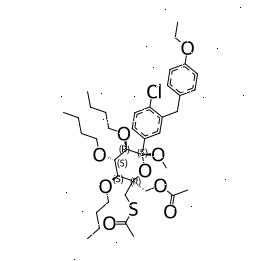 CCCCO[C@@H]1[C@@H](OCCCC)[C@](OC)(c2ccc(Cl)c(Cc3ccc(OCC)cc3)c2)O[C@@](COC(C)=O)(CSC(C)=O)[C@H]1OCCCC